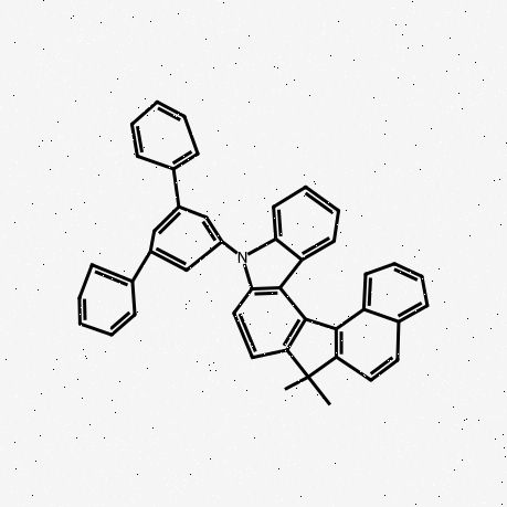 CC1(C)c2ccc3ccccc3c2-c2c1ccc1c2c2ccccc2n1-c1cc(-c2ccccc2)cc(-c2ccccc2)c1